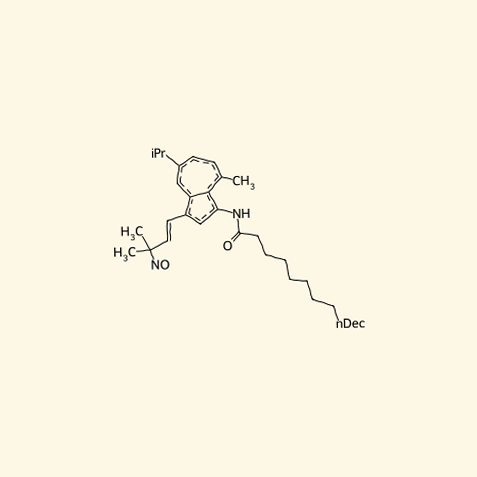 CCCCCCCCCCCCCCCCCC(=O)Nc1cc(C=CC(C)(C)N=O)c2cc(C(C)C)ccc(C)c1-2